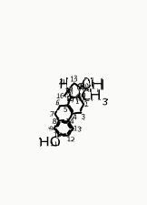 C[C@]12CCC3=C(CCc4cc(O)ccc43)[C@]13C[C@@H]3C[C@H]2O